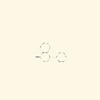 O=c1[nH]cc(-c2ccccc2)c2cc(Br)ccc12